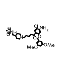 COc1cc(COc2cc(N)c(Cl)cc2C(=O)CCCCN2CCC(CNS(C)(=O)=O)CC2)cc(OC)c1